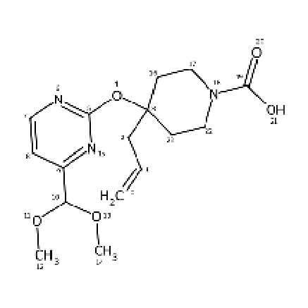 C=CCC1(Oc2nccc(C(OC)OC)n2)CCN(C(=O)O)CC1